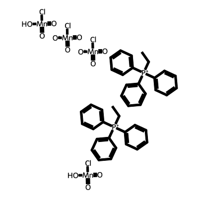 CC[P+](c1ccccc1)(c1ccccc1)c1ccccc1.CC[P+](c1ccccc1)(c1ccccc1)c1ccccc1.[O]=[Mn](=[O])([O-])[Cl].[O]=[Mn](=[O])([O-])[Cl].[O]=[Mn](=[O])([OH])[Cl].[O]=[Mn](=[O])([OH])[Cl]